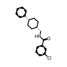 O=C(NC[C@H]1CC[C@@H](c2ccccc2)CC1)c1cccc(Cl)c1